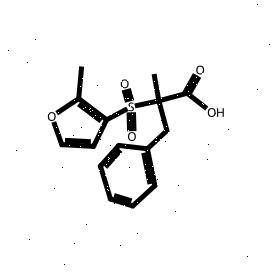 Cc1occc1S(=O)(=O)C(C)(Cc1ccccc1)C(=O)O